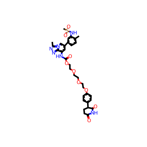 Cc1ccc(-c2cc(NC(=O)OCCOCCOCCOc3ccc(C4CCC(=O)NC4=O)cc3)c3nnc(C)n3c2)cc1NS(C)(=O)=O